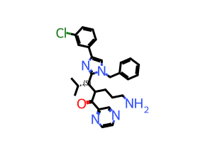 CC(C)[C@H](c1nc(-c2cccc(Cl)c2)cn1Cc1ccccc1)C(CCCN)C(=O)c1cnccn1